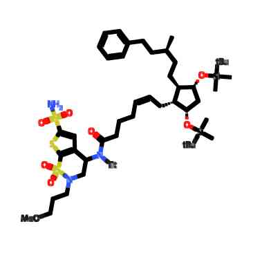 CCN(C(=O)CCC/C=C\C[C@@H]1[C@@H](CC[C@H](C)CCc2ccccc2)[C@H](O[Si](C)(C)C(C)(C)C)C[C@@H]1O[Si](C)(C)C(C)(C)C)C1CN(CCCOC)S(=O)(=O)c2sc(S(N)(=O)=O)cc21